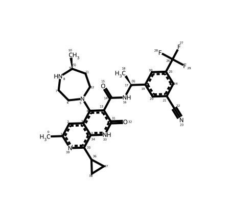 Cc1cc2c(N3CCN[C@@H](C)CC3)c(C(=O)N[C@@H](C)c3cc(C#N)cc(C(F)(F)F)c3)c(=O)[nH]c2c(C2CC2)n1